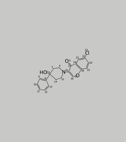 O=c1c(N2CCC(O)(c3ccccc3)CC2)coc2ccc(Cl)cc12